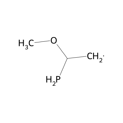 [CH2]C(P)OC